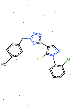 N#Cc1ccc(Cn2nnc(-c3cnn(-c4ccccc4Cl)c3S)n2)cc1